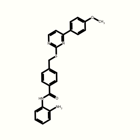 COc1ccc(-c2ccnc(SCc3ccc(C(=O)Nc4ccccc4N)cc3)n2)cc1